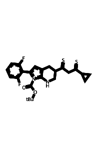 CC(C)(C)OC(=O)n1c(-c2c(F)cccc2F)cc2c1NCC(C(=S)CC(=S)C1CC1)C2